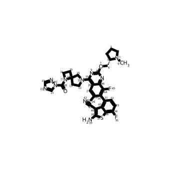 CN1CCC[C@H]1COc1nc(N2CCC3(CCN3C(=O)n3cncn3)C2)c2cc(Cl)c(-c3ccc(F)c4sc(N)c(C#N)c34)c(F)c2n1